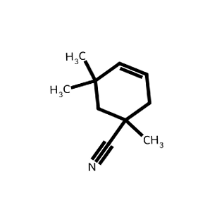 CC1(C)C=CCC(C)(C#N)C1